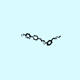 CCON=Cc1cccc(OCCCC2CCN(c3ccc(Cl)nn3)CC2)c1